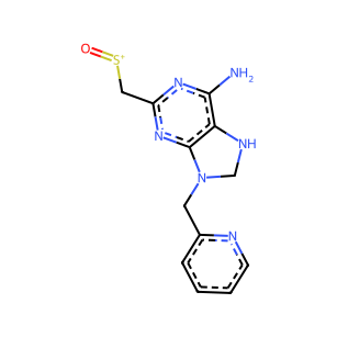 Nc1nc(C[S+]=O)nc2c1NCN2Cc1ccccn1